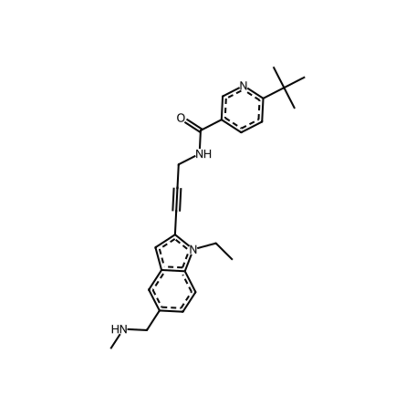 CCn1c(C#CCNC(=O)c2ccc(C(C)(C)C)nc2)cc2cc(CNC)ccc21